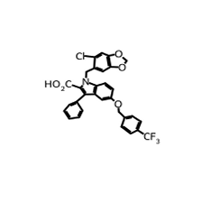 O=C(O)c1c(-c2ccccc2)c2cc(OCc3ccc(C(F)(F)F)cc3)ccc2n1Cc1cc2c(cc1Cl)OCO2